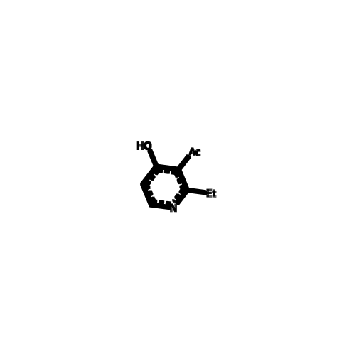 CCc1nccc(O)c1C(C)=O